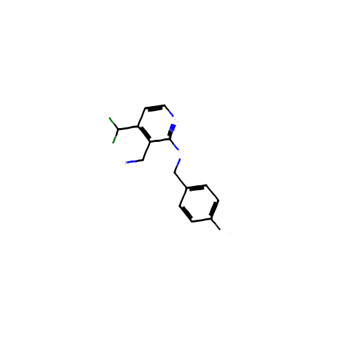 COc1ccc(CNc2nccc(C(F)F)c2CN)cc1